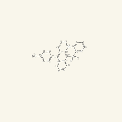 CC1(C)c2ccccc2-c2cccc3c(-c4ccc(C#N)cc4)c4ccccc4c1c23